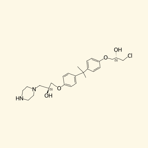 CC(C)(c1ccc(OC[C@H](O)CCl)cc1)c1ccc(OC[C@@H](O)CN2CCNCC2)cc1